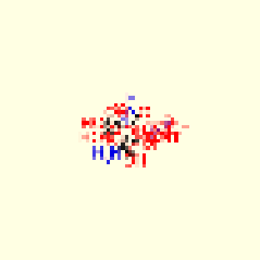 N[C@@H]1[C@@H](O)[C@H](O)[C@@H](CO)O[C@H]1O.O=P(O)(O)OP(=O)(O)O.O=c1ccn([C@@H]2O[C@H](CO)[C@@H](O)[C@H]2O)c(=O)[nH]1